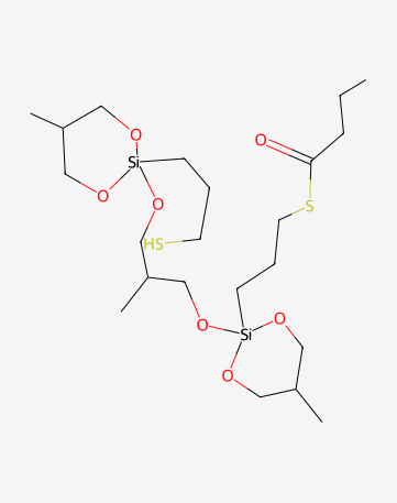 CCCC(=O)SCCC[Si]1(OCC(C)CO[Si]2(CCCS)OCC(C)CO2)OCC(C)CO1